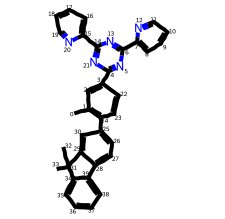 Cc1cc(-c2nc(-c3ccccn3)nc(-c3ccccn3)n2)ccc1-c1ccc2c(c1)C(C)(C)c1ccccc1-2